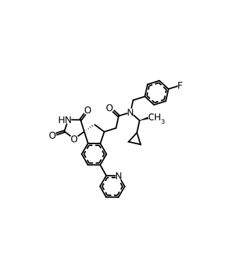 C[C@@H](C1CC1)N(Cc1ccc(F)cc1)C(=O)CC1C[C@@]2(OC(=O)NC2=O)c2ccc(-c3ccccn3)cc21